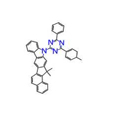 CC1C=CC(c2nc(-c3ccccc3)nc(-n3c4ccccc4c4cc5c(cc43)C(C)(C)c3c-5ccc4ccccc34)n2)=CC1